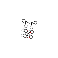 c1ccc(P(CCCP(c2ccccc2)c2ccccc2)c2ccccc2)cc1.c1ccc(P(c2ccccc2)c2ccc3ccccc3c2-c2c(P(c3ccccc3)c3ccccc3)ccc3ccccc23)cc1